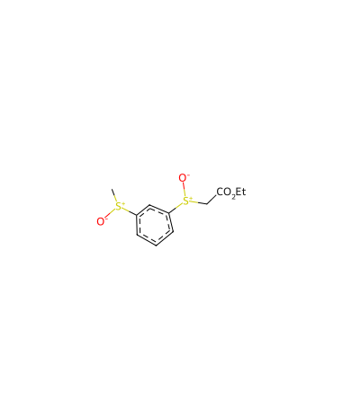 CCOC(=O)C[S+]([O-])c1cccc([S+](C)[O-])c1